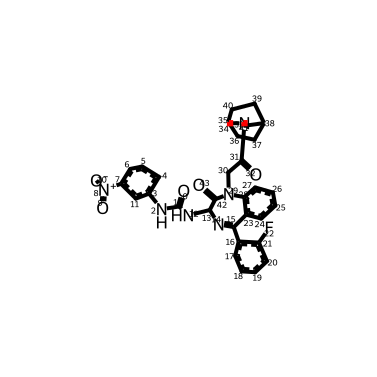 O=C(Nc1cccc([N+](=O)[O-])c1)NC1N=C(c2ccccc2F)c2ccccc2N(CC(=O)N2CC3CCC(CC3)C2)C1=O